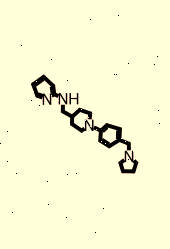 c1ccc(NCC2CCN(c3ccc(CN4CCCC4)cc3)CC2)nc1